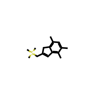 Cc1cc(C)c2c(c1C)C=C(CS(C)(C)C)C2